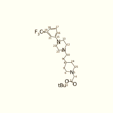 CC(C)(C)OC(=O)CN1CCC(CCN2CCN(c3cccc(C(F)(F)F)c3)CC2)CC1